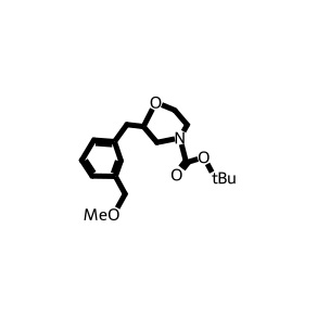 COCc1cccc(CC2CN(C(=O)OC(C)(C)C)CCO2)c1